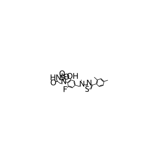 Cc1ccc(-c2csc(N(C)Cc3cc(O)c(N4CC(=O)NS4(=O)=O)c(F)c3)n2)c(C)c1